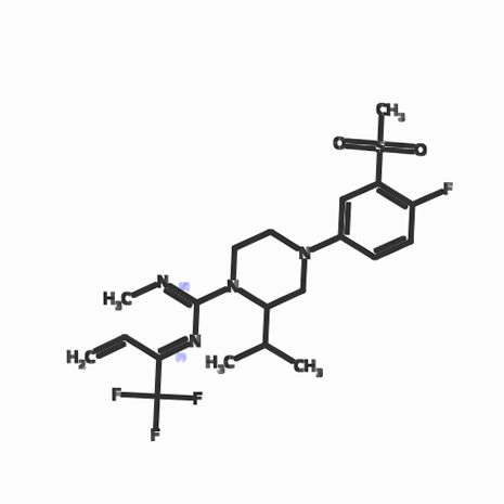 C=C/C(=N\C(=N/C)N1CCN(c2ccc(F)c(S(C)(=O)=O)c2)CC1C(C)C)C(F)(F)F